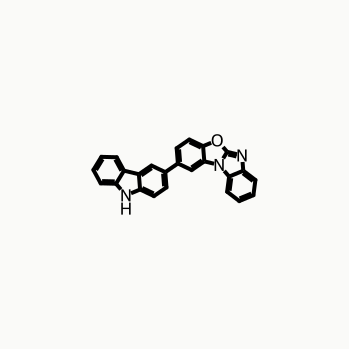 c1ccc2c(c1)nc1oc3ccc(-c4ccc5[nH]c6ccccc6c5c4)cc3n12